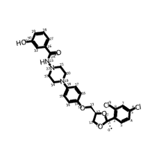 C[C@]1(c2ccc(Cl)cc2Cl)OC[C@@H](COc2ccc(N3CCN(NC(=O)c4cccc(O)c4)CC3)cc2)O1